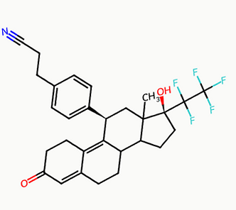 CC12C[C@H](c3ccc(CCC#N)cc3)C3=C4CCC(=O)C=C4CCC3C1CC[C@@]2(O)C(F)(F)C(F)(F)F